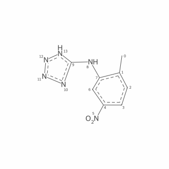 Cc1ccc([N+](=O)[O-])cc1Nc1nnn[nH]1